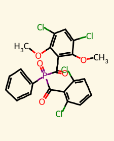 COc1c(Cl)cc(Cl)c(OC)c1C(=O)P(=O)(C(=O)c1c(Cl)cccc1Cl)c1ccccc1